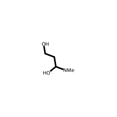 C[N]C(O)CCO